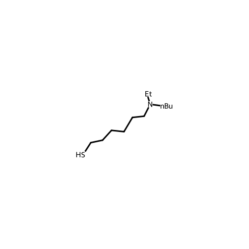 CCCCN(CC)CCCCCCS